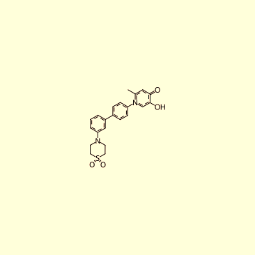 Cc1cc(=O)c(O)cn1-c1ccc(-c2cccc(N3CCS(=O)(=O)CC3)c2)cc1